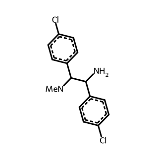 CNC(c1ccc(Cl)cc1)C(N)c1ccc(Cl)cc1